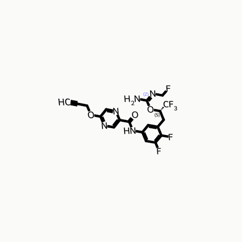 C#CCOc1cnc(C(=O)Nc2cc(F)c(F)c(C[C@H](O/C(N)=N\CF)C(F)(F)F)c2)cn1